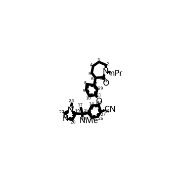 CCCN1CCCCC(c2cccc(Oc3cc(C(C)(NC)c4cncn4C)ccc3C#N)c2)C1=O